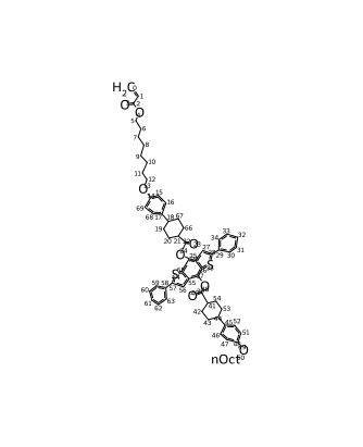 C=CC(=O)OCCCCCCCCOc1ccc(C2CCC(C(=O)Oc3c4cc(-c5ccccc5)sc4c(OC(=O)C4CCC(c5ccc(OCCCCCCCC)cc5)CC4)c4cc(-c5ccccc5)sc34)CC2)cc1